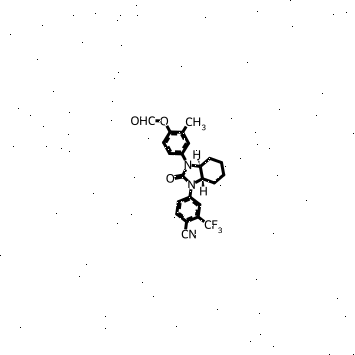 Cc1cc(N2C(=O)N(c3ccc(C#N)c(C(F)(F)F)c3)[C@H]3CCCC[C@@H]32)ccc1OC=O